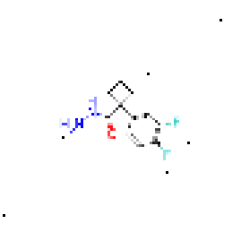 NNC(=O)C1(c2ccc(F)c(F)c2)CCC1